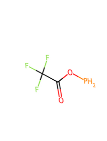 O=C(OP)C(F)(F)F